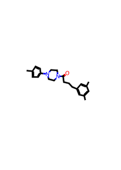 Cc1ccc(N2CCN(C(=O)CCCc3cc(C)cc(C)c3)CC2)cc1